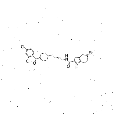 CCN1CCc2[nH]c(C(=O)NCCCCC3CCN(C(=O)c4ccc(Cl)cc4Cl)CC3)cc2C1